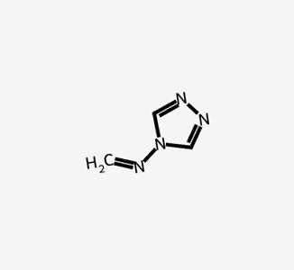 C=Nn1cnnc1